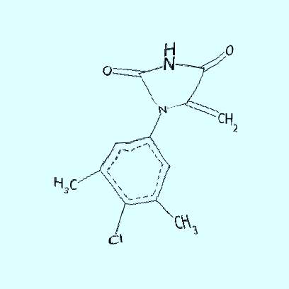 C=C1C(=O)NC(=O)N1c1cc(C)c(Cl)c(C)c1